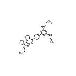 C=CCNc1nc(NCC=C)nc(N2CCN(C(=O)C3CCCN3C(=O)C3(C(=O)OCC)CCCC3)CC2)n1